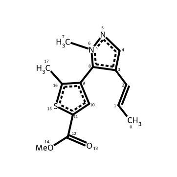 CC=Cc1cnn(C)c1-c1cc(C(=O)OC)sc1C